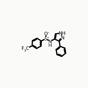 [O-][S+](Nc1c[nH]nc1-c1ccccc1)c1ccc(C(F)(F)F)cc1